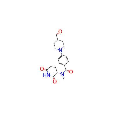 CN(C(=O)c1ccc(N2CCC(C=O)CC2)cc1)C1CCC(=O)NC1=O